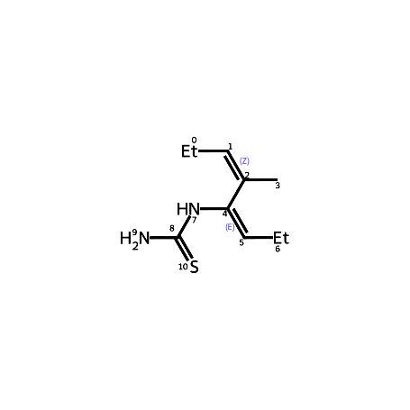 CC/C=C(C)\C(=C/CC)NC(N)=S